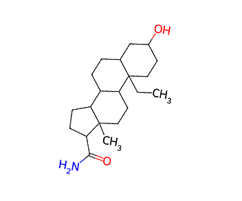 CCC12CCC(O)CC1CCC1C3CCC(C(N)=O)C3(C)CCC12